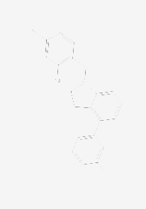 Nc1ncc(CN2CCc3c(-c4cccc(C(=O)O)c4)cccc32)c(N)n1